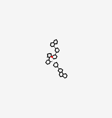 c1cc(-c2ccc(N(c3ccc(-c4ccc5c(ccc6ccccc65)c4)cc3)c3cccc4sc5ccccc5c34)cc2)cc(-c2cccc3ccccc23)c1